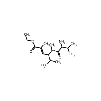 CCOC(=O)/C(C)=C/[C@H](C(C)C)N(C)C(=O)C(N)C(C)C